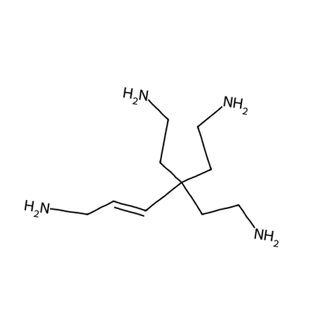 NCC=CC(CCN)(CCN)CCN